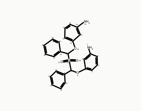 Nc1cccc(OC(c2ccccc2)S(=O)(=O)C(Oc2cccc(N)c2)c2ccccc2)c1